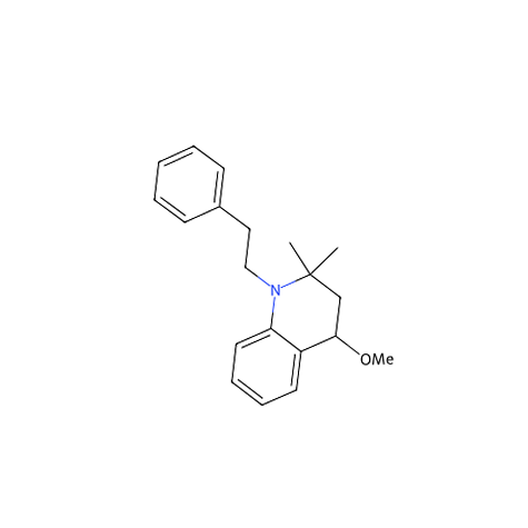 COC1CC(C)(C)N(CCc2ccccc2)c2ccccc21